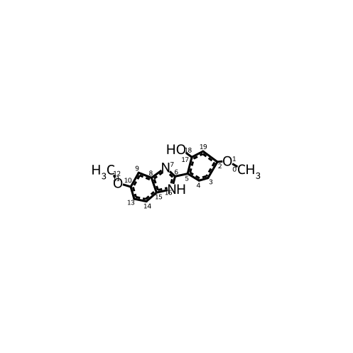 COc1ccc(-c2nc3cc(OC)ccc3[nH]2)c(O)c1